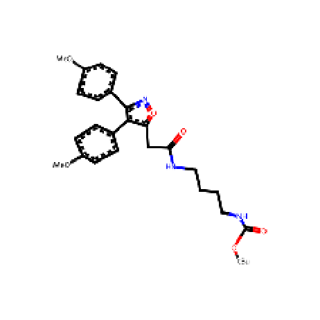 COc1ccc(-c2noc(CC(=O)NCCCCNC(=O)OC(C)(C)C)c2-c2ccc(OC)cc2)cc1